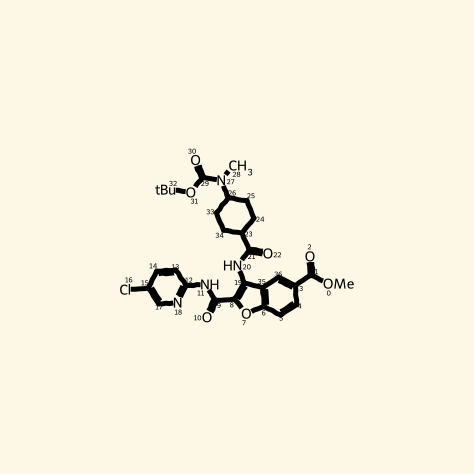 COC(=O)c1ccc2oc(C(=O)Nc3ccc(Cl)cn3)c(NC(=O)C3CCC(N(C)C(=O)OC(C)(C)C)CC3)c2c1